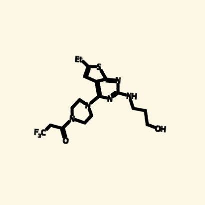 CCc1cc2c(N3CCN(C(=O)CC(F)(F)F)CC3)nc(NCCCO)nc2s1